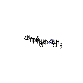 C=C/C=C(\C=C/N)c1ccc(C(=O)NNC(=S)NCCCN2CCCCC2)cc1